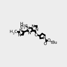 Cc1ncc(-c2nc3c(OC4CCN(C(=O)OC(C)(C)C)C4)ncnc3n2C)n1C